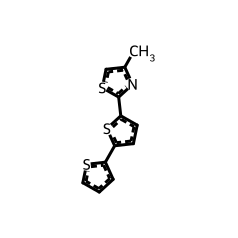 Cc1csc(-c2ccc(-c3cccs3)s2)n1